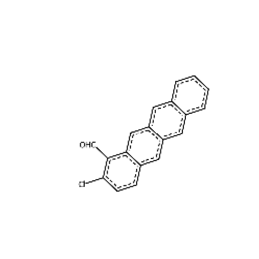 O=Cc1c(Cl)ccc2cc3cc4ccccc4cc3cc12